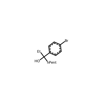 CCCCCC(O)(CC)c1ccc(Br)cc1